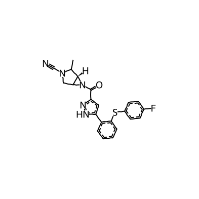 CC1[C@H]2C(CN1C#N)N2C(=O)c1cc(-c2ccccc2Sc2ccc(F)cc2)[nH]n1